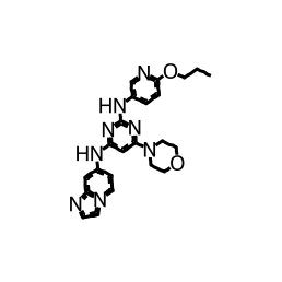 CCCOc1ccc(Nc2nc(Nc3ccn4ccnc4c3)cc(N3CCOCC3)n2)cn1